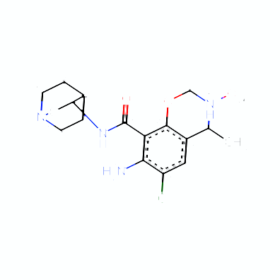 CC1c2cc(Cl)c(N)c(C(=O)NC3CN4CCC3CC4)c2OC[NH+]1[O-]